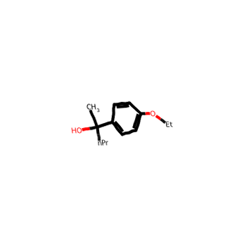 CCCC(C)(O)c1ccc(OCC)cc1